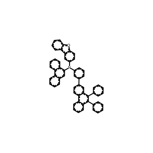 c1ccc(-c2c(-c3ccccc3)c3cc(-c4cccc(N(c5ccc6oc7ccccc7c6c5)c5cc6ccccc6c6ccccc56)c4)ccc3c3ccccc23)cc1